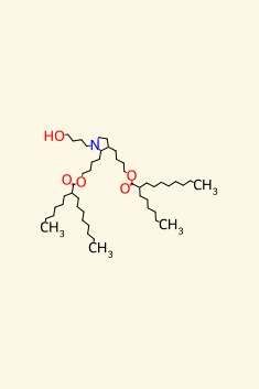 CCCCCCCCC(CCCCCC)C(=O)OCCCCC1CCN(CCCCO)C1CCCCOC(=O)C(CCCCCC)CCCCCCCC